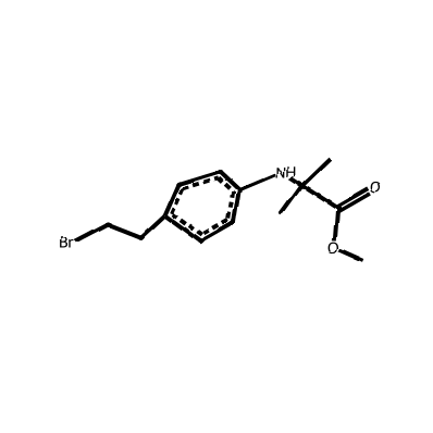 COC(=O)C(C)(C)Nc1ccc(CCBr)cc1